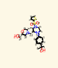 CC(C)(O)c1ccc(N2CCN(S(=O)(=O)c3cccs3)C[C@H]2CN2CCO[C@@H](CO)C2)cc1